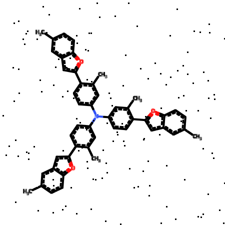 Cc1ccc2oc(-c3ccc(N(c4ccc(-c5cc6cc(C)ccc6o5)c(C)c4)c4ccc(-c5cc6cc(C)ccc6o5)c(C)c4)cc3C)cc2c1